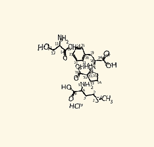 CSCCC(N)C(=O)O.Cl.NC(CO)C(=O)O.NC(Cc1ccccc1)C(=O)O.O=C(O)[C@@H]1CCCN1